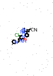 C[C@H]1CCCN(Cc2cc3c(Cl)cn(-c4cccc(C5(c6nncn6C)CC(CC#N)C5)c4)c(=O)c3[nH]2)C1